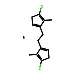 CC1=C(Cl)CC=C1CCC1=CCC(Cl)=C1C.[Ti]